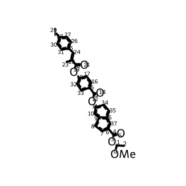 COC(C)OC(=O)c1ccc2cc(OC(=O)c3ccc(OC(=O)/C(C)=C/c4ccc(I)cc4)cc3)ccc2c1